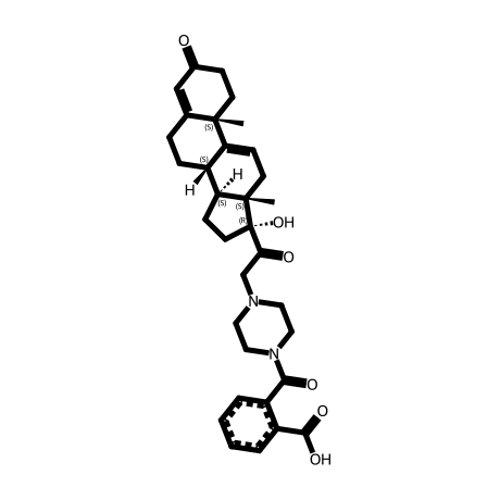 C[C@]12CCC(=O)C=C1CC[C@@H]1C2=CC[C@@]2(C)[C@H]1CC[C@]2(O)C(=O)CN1CCN(C(=O)c2ccccc2C(=O)O)CC1